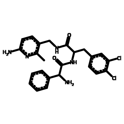 Cc1nc(N)ccc1CNC(=O)C(Cc1ccc(Cl)c(Cl)c1)NC(=O)C(N)c1ccccc1